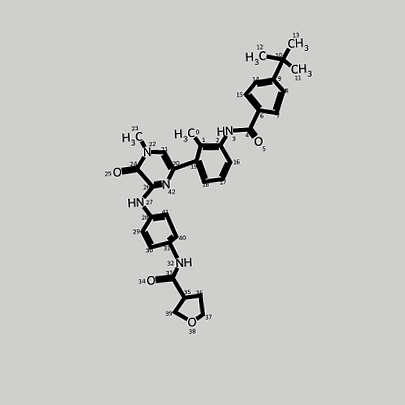 Cc1c(NC(=O)c2ccc(C(C)(C)C)cc2)cccc1-c1cn(C)c(=O)c(Nc2ccc(NC(=O)C3CCOC3)cc2)n1